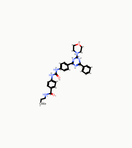 COCCNC(=O)c1ccc(NC(=O)Nc2ccc(-c3nc(-c4ccccc4)nc(N4CCOCC4)n3)cc2)cc1